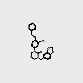 Cc1cc(N2CCCN(Cc3ccc4c(c3)OCO4)C2=O)ccc1OCc1ccccc1